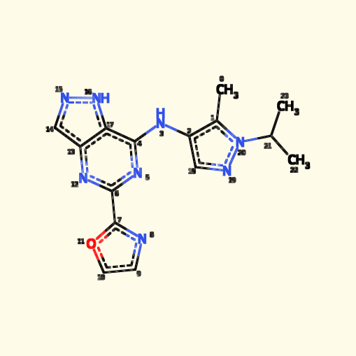 Cc1c(Nc2nc(-c3ncco3)nc3cn[nH]c23)cnn1C(C)C